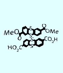 COC(=O)c1ccc2c(c1)Sc1ccc(C(=O)OC)cc1S2.O=C(O)c1ccc2c(c1)Sc1ccc(C(=O)O)cc1S2